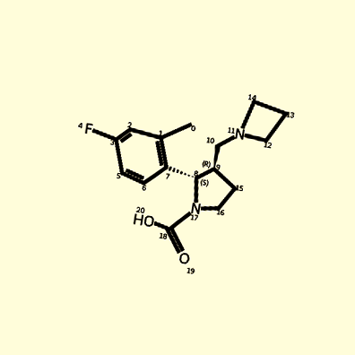 Cc1cc(F)ccc1[C@@H]1[C@@H](CN2CCC2)CCN1C(=O)O